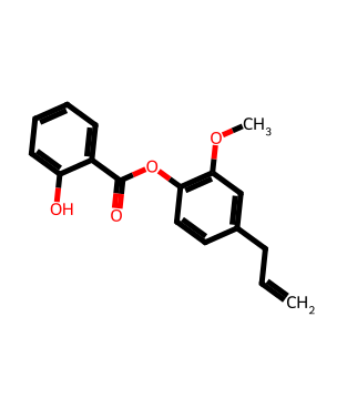 C=CCc1ccc(OC(=O)c2ccccc2O)c(OC)c1